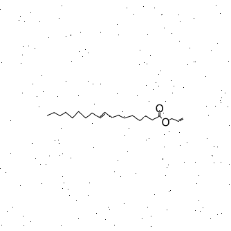 C=CCOC(=O)CCCCCCCC=CCCCCCCCC